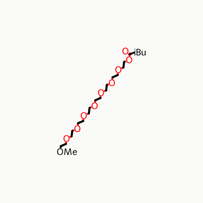 CCC(C)C(=O)OCCOCCOCCOCCOCCOCCOCCOCCOC